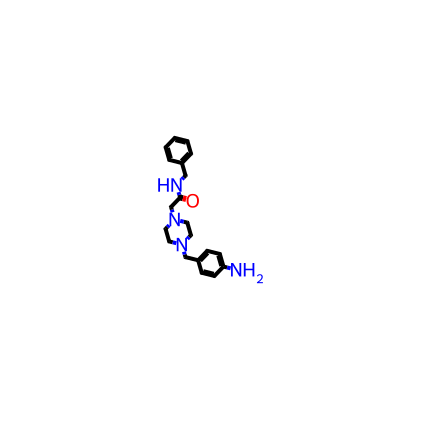 Nc1ccc(CN2CCN(CC(=O)NCc3ccccc3)CC2)cc1